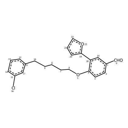 O=Cc1ccc(OCCCCCc2cccc(Cl)c2)c(-c2ccco2)c1